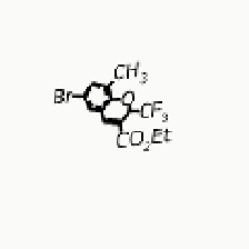 CCOC(=O)C1=Cc2cc(Br)cc(C)c2OC1C(F)(F)F